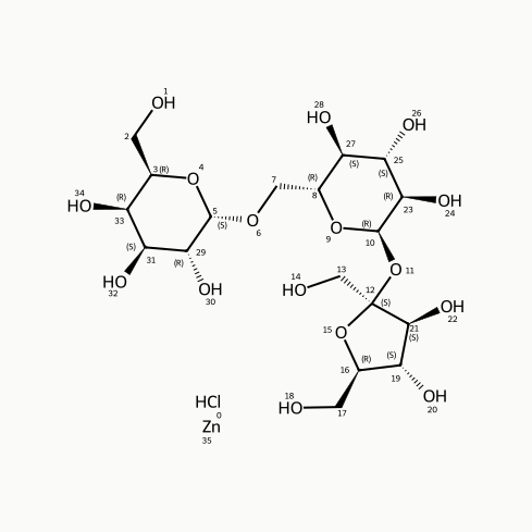 Cl.OC[C@H]1O[C@H](OC[C@H]2O[C@H](O[C@]3(CO)O[C@H](CO)[C@@H](O)[C@@H]3O)[C@H](O)[C@@H](O)[C@@H]2O)[C@H](O)[C@@H](O)[C@H]1O.[Zn]